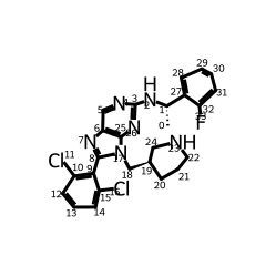 C[C@H](Nc1ncc2nc(-c3c(Cl)cccc3Cl)n(C[C@@H]3CCCNC3)c2n1)c1ccccc1F